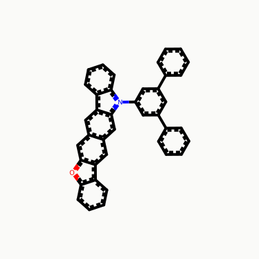 c1ccc(-c2cc(-c3ccccc3)cc(-n3c4ccccc4c4cc5cc6oc7ccccc7c6cc5cc43)c2)cc1